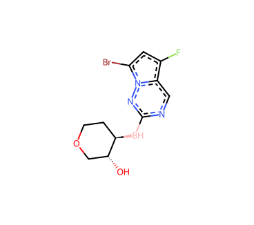 O[C@@H]1COCC[C@H]1Bc1ncc2c(F)cc(Br)n2n1